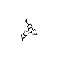 C=Cc1ccc(NC(=O)OC)c(COc2ccc(C)cc2C)c1